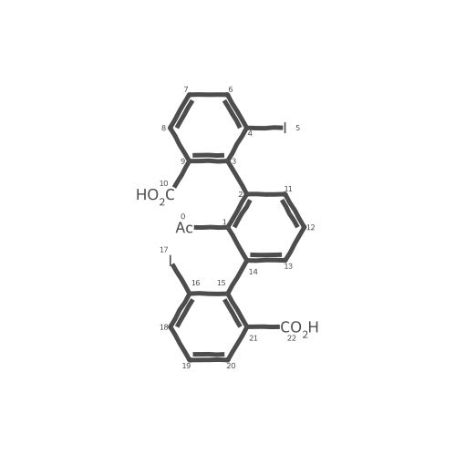 CC(=O)c1c(-c2c(I)cccc2C(=O)O)cccc1-c1c(I)cccc1C(=O)O